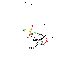 COc1c2ccc(C=O)c1O2.O=S(=O)(F)F